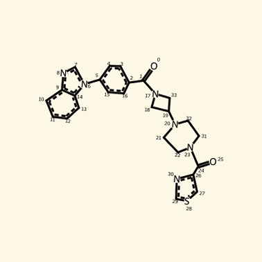 O=C(c1ccc(-n2cnc3ccccc32)cc1)N1CC(N2CCN(C(=O)c3cscn3)CC2)C1